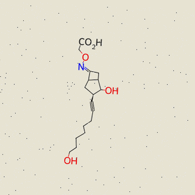 O=C(O)CON=C1CC2C1C[C@H](C#CCCCCCCO)C2O